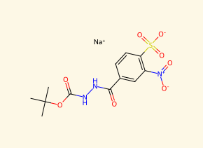 CC(C)(C)OC(=O)NNC(=O)c1ccc(S(=O)(=O)[O-])c([N+](=O)[O-])c1.[Na+]